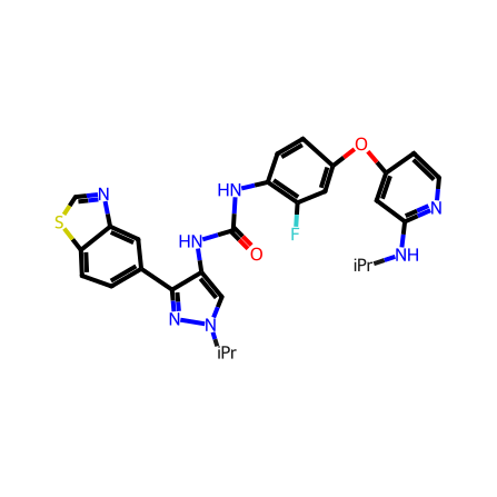 CC(C)Nc1cc(Oc2ccc(NC(=O)Nc3cn(C(C)C)nc3-c3ccc4scnc4c3)c(F)c2)ccn1